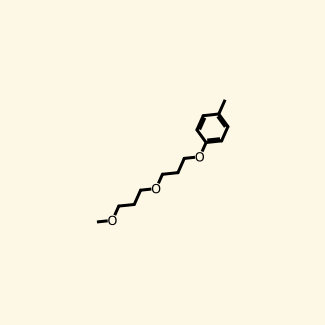 COCCCOCCCOc1ccc(C)cc1